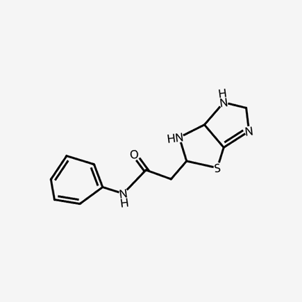 O=C(CC1NC2NCN=C2S1)Nc1ccccc1